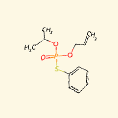 C=CCOP(=O)(OC(C)C)Sc1ccccc1